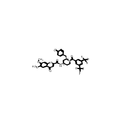 COc1cc2oc(C(=O)N[C@H]3CCN(C(=O)c4cc(C(F)(F)F)cc(C(F)(F)F)c4)[C@H](Cc4ccc(Cl)cc4)C3)cc(=O)c2cc1OC